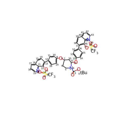 CC(C)(C)OC(=O)N1CCC(Oc2ccc(-c3ccc4cccnc4c3OS(=O)(=O)C(F)(F)F)cc2)CC1Oc1ccc(-c2ccc3cccnc3c2OS(=O)(=O)C(F)(F)F)cc1